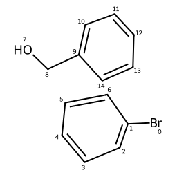 Brc1ccccc1.OCc1ccccc1